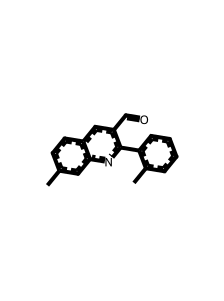 Cc1ccc2cc(C=O)c(-c3ccccc3C)nc2c1